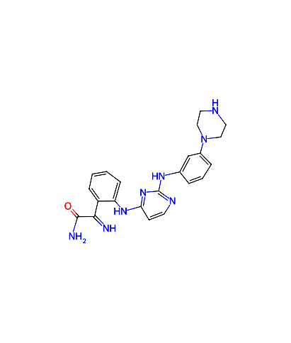 N=C(C(N)=O)c1ccccc1Nc1ccnc(Nc2cccc(N3CCNCC3)c2)n1